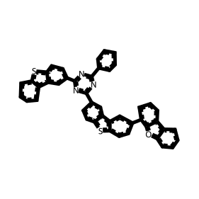 c1ccc(-c2nc(-c3ccc4sc5ccccc5c4c3)nc(-c3ccc4sc5ccc(-c6cccc7c6oc6ccccc67)cc5c4c3)n2)cc1